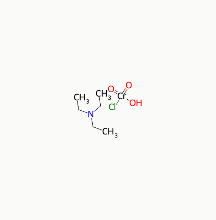 CCN(CC)CC.[O]=[Cr](=[O])([OH])[Cl]